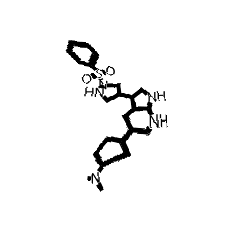 CN(C)C1CCC(C2CNC3NCC(C4CNN(S(=O)(=O)c5ccccc5)C4)C3C2)CC1